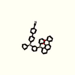 N#Cc1ccc(-c2ccc(N(c3ccccc3)c3cccc(N(c4ccccc4)c4cccc5ccc6c7ccccc7ccc6c45)c3)cc2)cc1